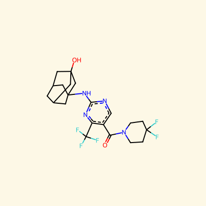 O=C(c1cnc(NC23CC4CC(CC(O)(C4)C2)C3)nc1C(F)(F)F)N1CCC(F)(F)CC1